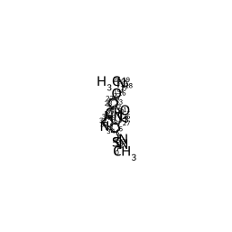 Cc1nnc(-c2cc(C3(NC(=O)c4cc(OC[C@@H]5CCN5C)ccc4C)CC3)c3cccnc3c2)s1